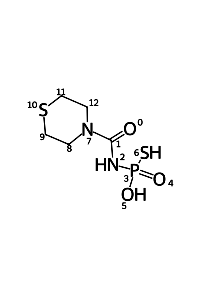 O=C(NP(=O)(O)S)N1CCSCC1